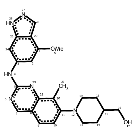 COc1cc(Nc2ncc3ccc(N4CCC(CO)CC4)c(C)c3n2)cc2[nH]ncc12